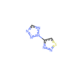 [c]1nnn(-c2csnn2)n1